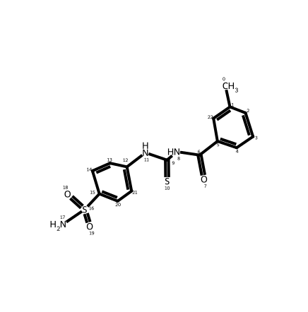 Cc1cccc(C(=O)NC(=S)Nc2ccc(S(N)(=O)=O)cc2)c1